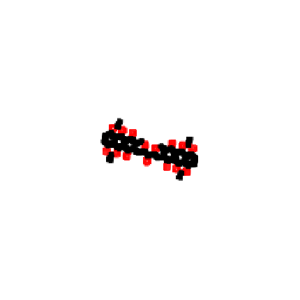 CC(=O)Oc1c2c(c(OC(C)=O)c3ccccc13)C(=O)C1=C(COC(C(=O)C3CC4C(=O)c5c(c(OC(C)=O)c6ccccc6c5OC(C)=O)C(=O)C4=CO3)C1)C2=O